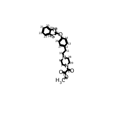 COC(=O)C(=O)N1CCN(CCc2ccc(Oc3nc4ccccc4s3)cc2)CC1